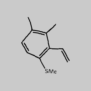 C=Cc1c(SC)ccc(C)c1C